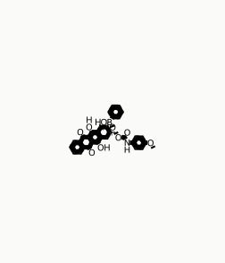 COc1ccc(NC(=O)OC[C@]23Cc4c(O)c5c(c(O)c4[C@H](C2)OB(c2ccccc2)O3)C(=O)c2ccccc2C5=O)cc1